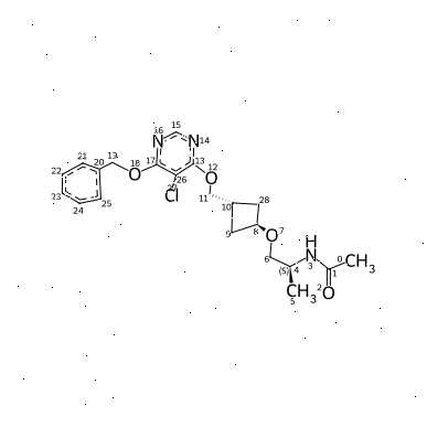 CC(=O)N[C@@H](C)CO[C@H]1C[C@H](COc2ncnc(OCc3ccccc3)c2Cl)C1